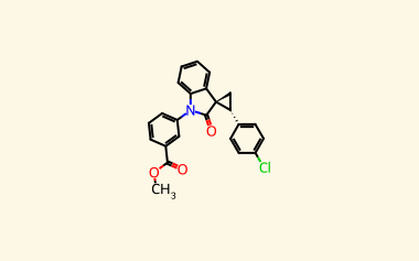 COC(=O)c1cccc(N2C(=O)[C@]3(C[C@@H]3c3ccc(Cl)cc3)c3ccccc32)c1